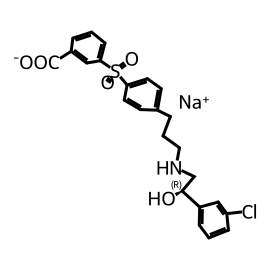 O=C([O-])c1cccc(S(=O)(=O)c2ccc(CCCNC[C@H](O)c3cccc(Cl)c3)cc2)c1.[Na+]